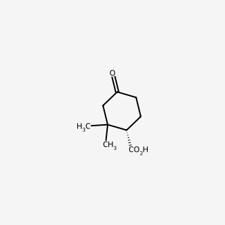 CC1(C)CC(=O)CC[C@@H]1C(=O)O